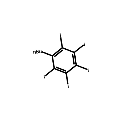 CCCCc1c(I)c(I)c(I)c(I)c1I